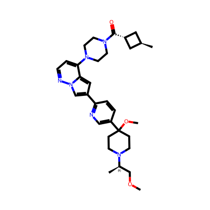 COC[C@@H](C)N1CCC(OC)(c2ccc(-c3cc4c(N5CCN(C(=O)[C@H]6C[C@H](C)C6)CC5)ccnn4c3)nc2)CC1